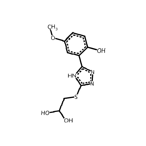 COc1ccc(O)c(-c2nnc(SCC(O)O)[nH]2)c1